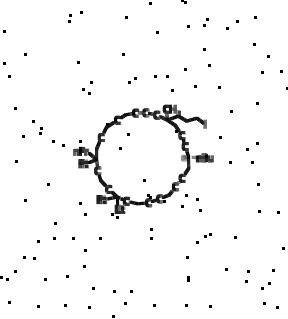 CCCC[C@@H]1CCCCCCCCC(CC)(CC)CCCC(CC)(CCC)CCCCCCCCC(C)(CCCI)CCC1